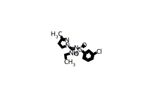 CCN/C(=N\S(=O)(=O)c1cccc(Cl)c1)N1CCC(C)=N1